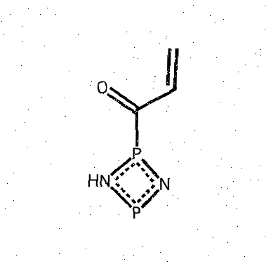 C=CC(=O)p1np[nH]1